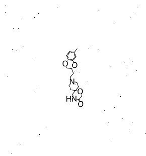 Cc1ccc2c(c1)OC(CCN1CCC3(CC1)CNC(=O)CO3)CO2